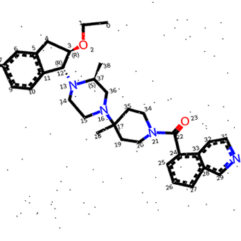 CCO[C@@H]1Cc2cc(C)ccc2[C@H]1N1CCN(C2(C)CCN(C(=O)c3cccc4cnccc34)CC2)C[C@@H]1C